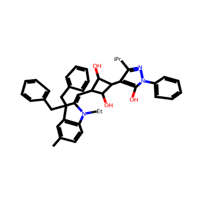 CCN1C(=CC2C(O)C(c3c(C(C)C)nn(-c4ccccc4)c3O)C2O)C(Cc2ccccc2)(Cc2ccccc2)c2cc(C)ccc21